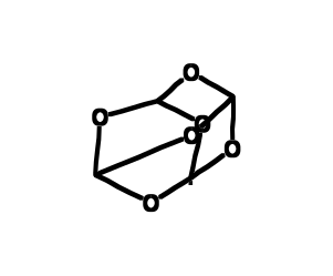 O1[C]2OC3OC1OC(O2)O3